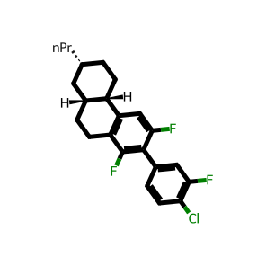 CCC[C@@H]1CC[C@@H]2c3cc(F)c(-c4ccc(Cl)c(F)c4)c(F)c3CC[C@@H]2C1